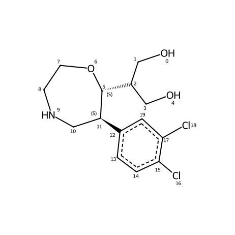 OCC(CO)[C@H]1OCCNC[C@@H]1c1ccc(Cl)c(Cl)c1